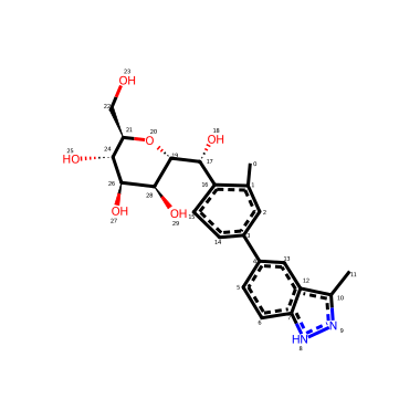 Cc1cc(-c2ccc3[nH]nc(C)c3c2)ccc1[C@@H](O)[C@H]1O[C@H](CO)[C@@H](O)[C@H](O)[C@@H]1O